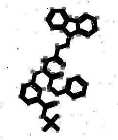 CC(C)(C)OC(=O)c1cccc(C[C@H](NC(=O)OCC2c3ccccc3-c3ccccc32)C(=O)OCc2ccccc2)c1